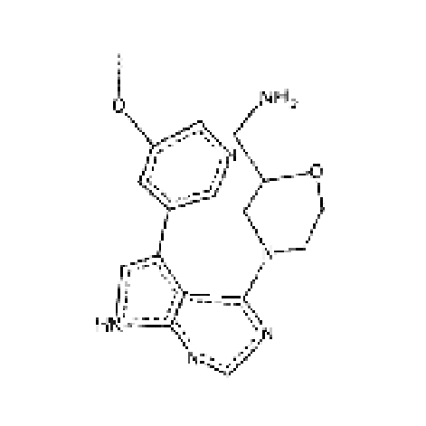 COc1cncc(-c2c[nH]c3ncnc(N4CCOC(CN)C4)c23)c1